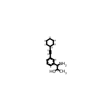 CC(O)C(N)c1cccc(C#CC2CCCCC2)c1